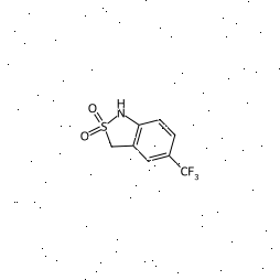 O=S1(=O)Cc2cc(C(F)(F)F)ccc2N1